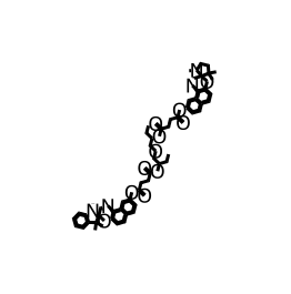 CCC(COCC(CC)OC(=O)CCC(=O)Oc1ccc2ccc3c(c2c1)N=CC1(O3)N(C)c2ccccc2C1(C)C)OC(=O)CCC(=O)Oc1ccc2ccc3c(c2c1)N=CC1(O3)N(C)CCC1(C)C